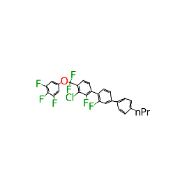 CCCc1ccc(-c2ccc(-c3ccc(C(F)(F)Oc4cc(F)c(F)c(F)c4)c(Cl)c3F)c(F)c2)cc1